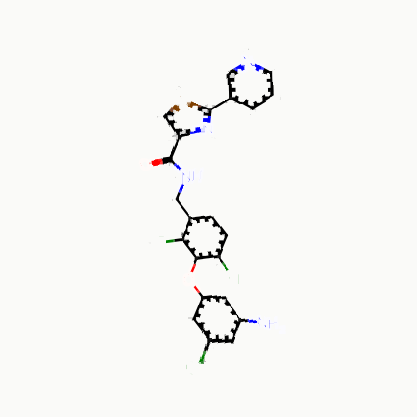 Nc1cc(Cl)cc(Oc2c(Cl)ccc(CNC(=O)c3csc(-c4cccnc4)n3)c2F)c1